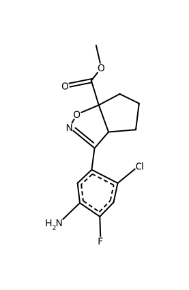 COC(=O)C12CCCC1C(c1cc(N)c(F)cc1Cl)=NO2